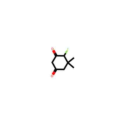 CC1(C)CC(=O)CC(=O)C1F